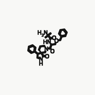 CC(C)(N)C(=O)NC(COCc1ccccc1)C(=O)N1CCC[C@@]2(C1)C(=O)NCC2c1ccccc1